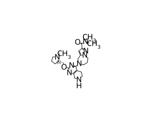 CN(C)C(=O)c1cc2n(n1)CCCN(c1nc(OC[C@@H]3CCCN3C)nc3c1CCNC3)C2